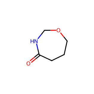 O=C1CCCOCN1